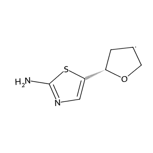 Nc1ncc([C@@H]2C[CH]CO2)s1